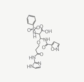 O=C(CCOC(NC(=O)c1ccno1)C(NS(=O)(=O)c1ccccc1)C(=O)O)Nc1ncc[nH]1